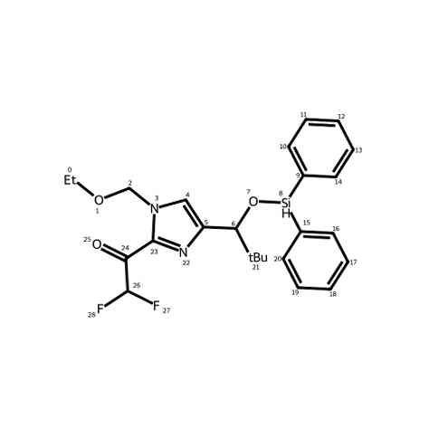 CCOCn1cc(C(O[SiH](c2ccccc2)c2ccccc2)C(C)(C)C)nc1C(=O)C(F)F